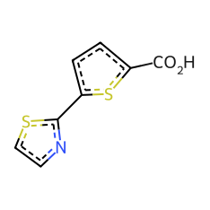 O=C(O)c1ccc(-c2nccs2)s1